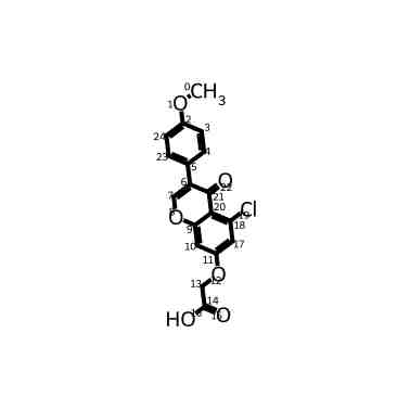 COc1ccc(-c2coc3cc(OCC(=O)O)cc(Cl)c3c2=O)cc1